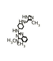 Cc1nc[nH]c1CN[C@H]1CC[C@@H](Nc2nc(N(C)C)c3ccccc3n2)CC1